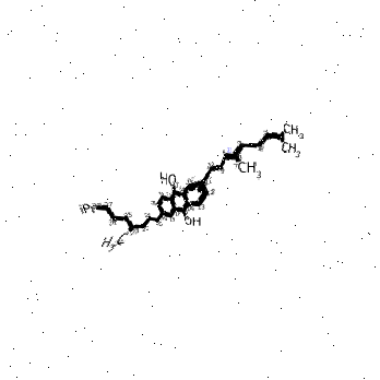 CC(C)=CCC/C(C)=C/CCc1ccc2c(O)c3cc(CCCC(C)CCCC(C)C)ccc3c(O)c2c1